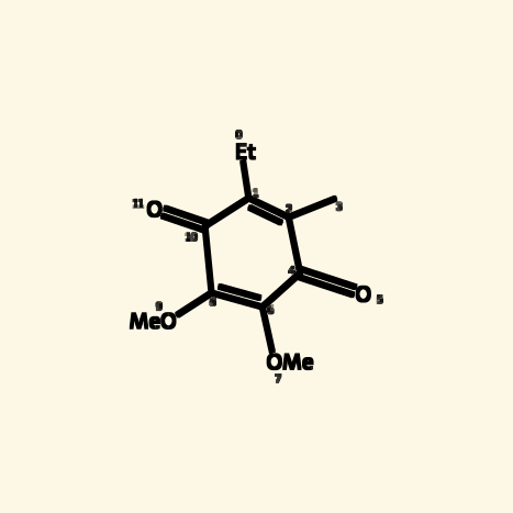 CCC1=C(C)C(=O)C(OC)=C(OC)C1=O